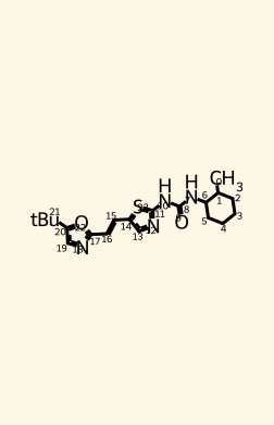 CC1CCCCC1NC(=O)Nc1ncc(/C=C/c2ncc(C(C)(C)C)o2)s1